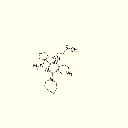 CSCCNC1CCCC1(N)c1nc2c(c(N3CCCCCC3)n1)CNCC2